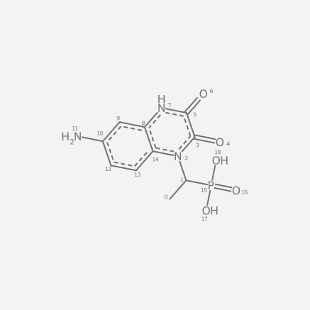 CC(n1c(=O)c(=O)[nH]c2cc(N)ccc21)P(=O)(O)O